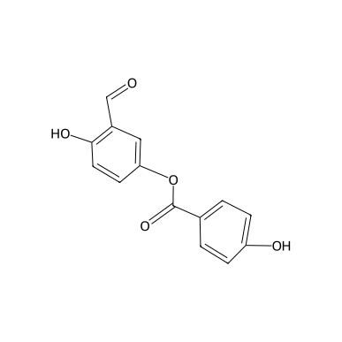 O=Cc1cc(OC(=O)c2ccc(O)cc2)ccc1O